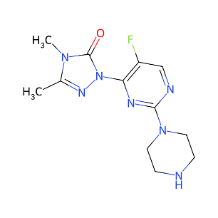 Cc1nn(-c2nc(N3CCNCC3)ncc2F)c(=O)n1C